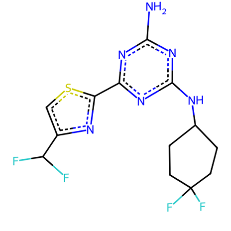 Nc1nc(NC2CCC(F)(F)CC2)nc(-c2nc(C(F)F)cs2)n1